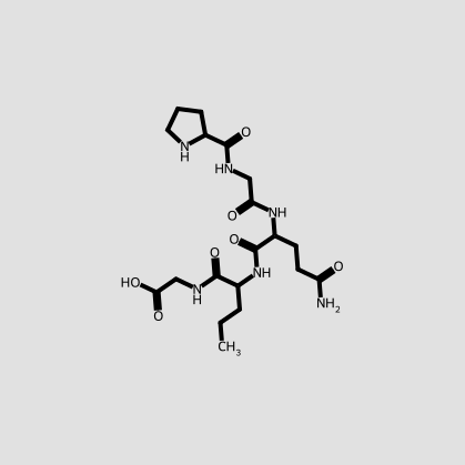 CCCC(NC(=O)C(CCC(N)=O)NC(=O)CNC(=O)C1CCCN1)C(=O)NCC(=O)O